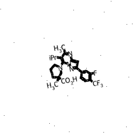 Cc1nc2cc(-c3ccc(C(F)(F)F)c(F)c3)nn2c(N2CCCC(C)(C(=O)O)C2)c1C(C)C